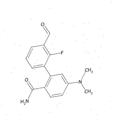 CN(C)c1ccc(C(N)=O)c(-c2cccc(C=O)c2F)c1